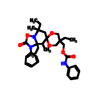 CCC1(COC(=O)Nc2ccccc2)COC2(CC(C)(CC)N3OC(=O)N(c4ccccc4)C3(CC)C2C)OC1